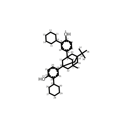 CC12CC3(c4ccc(O)c(C5CCCCC5)c4)CC(c4ccc(O)c(C5CCCCC5)c4)(C1)CC(C(C)(C)C)(C2)C3